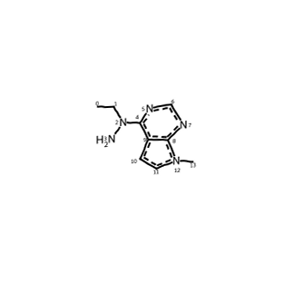 CCN(N)c1ncnc2c1ccn2C